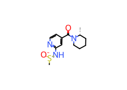 C[C@@H]1CCCCN1C(=O)c1ccnc(N[S+](C)[O-])c1